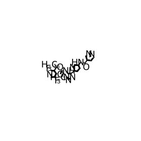 C[C@@H](OC(=O)Nc1c(-c2ccc(NC(=O)c3ccnnc3)cn2)nnn1C)c1cc(F)cnc1F